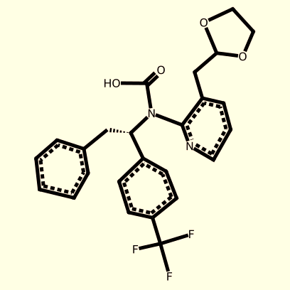 O=C(O)N(c1ncccc1CC1OCCO1)[C@@H](Cc1ccccc1)c1ccc(C(F)(F)F)cc1